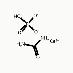 NC(N)=O.O=P([O-])([O-])O.[Ca+2]